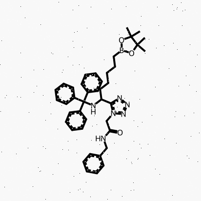 CC1(C)OB(CCCCCC(NC(c2ccccc2)(c2ccccc2)c2ccccc2)c2nnnn2CC(=O)NCc2ccccc2)OC1(C)C